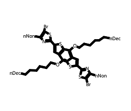 CCCCCCCCCCCCCCCCOc1c2cc(-c3nc(CCCCCCCCC)c(Br)s3)sc2c(OCCCCCCCCCCCCCCCC)c2cc(-c3nc(CCCCCCCCC)c(Br)s3)sc12